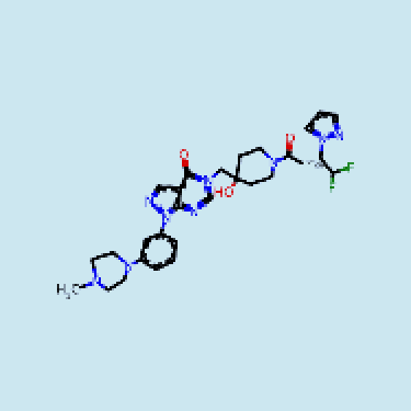 CN1CCN(c2cccc(-n3ncc4c(=O)n(CC5(O)CCN(C(=O)C[C@@H](C(F)F)n6cccn6)CC5)cnc43)c2)CC1